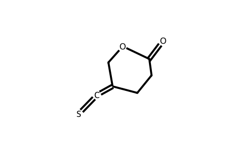 O=C1CCC(=C=S)CO1